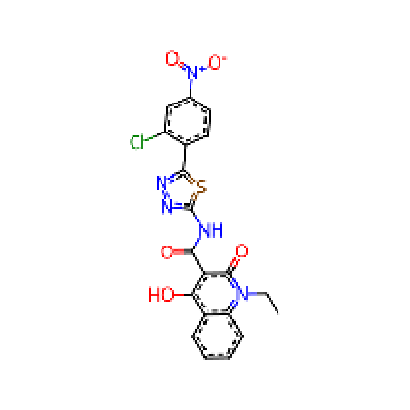 CCn1c(=O)c(C(=O)Nc2nnc(-c3ccc([N+](=O)[O-])cc3Cl)s2)c(O)c2ccccc21